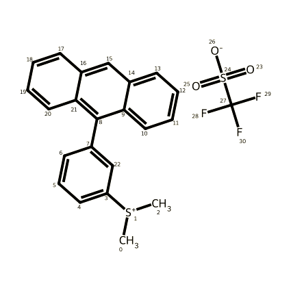 C[S+](C)c1cccc(-c2c3ccccc3cc3ccccc23)c1.O=S(=O)([O-])C(F)(F)F